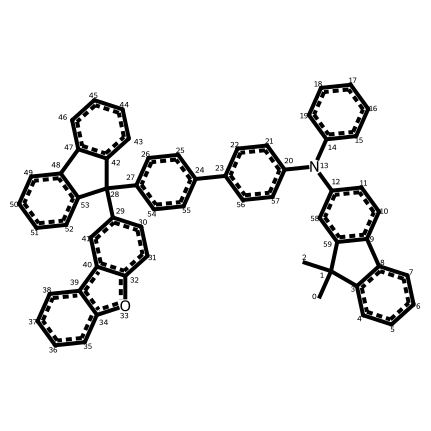 CC1(C)c2ccccc2-c2ccc(N(c3ccccc3)c3ccc(-c4ccc(C5(c6ccc7oc8ccccc8c7c6)c6ccccc6-c6ccccc65)cc4)cc3)cc21